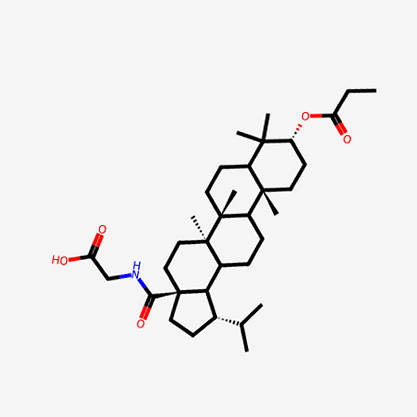 CCC(=O)O[C@@H]1CC[C@@]2(C)C(CC[C@]3(C)C2CCC2C4[C@H](C(C)C)CC[C@]4(C(=O)NCC(=O)O)CC[C@]23C)C1(C)C